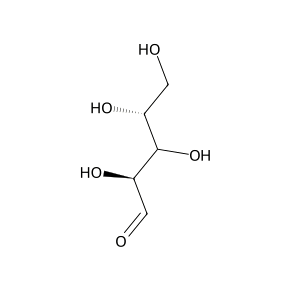 O=C[C@@H](O)C(O)[C@H](O)CO